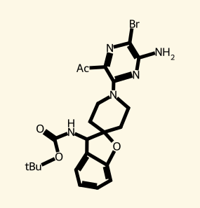 CC(=O)c1nc(Br)c(N)nc1N1CCC2(CC1)Oc1ccccc1C2NC(=O)OC(C)(C)C